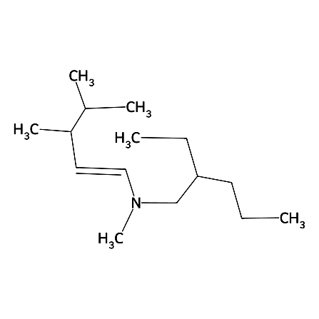 CCCC(CC)CN(C)C=CC(C)C(C)C